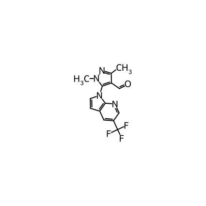 Cc1nn(C)c(-n2ccc3cc(C(F)(F)F)cnc32)c1C=O